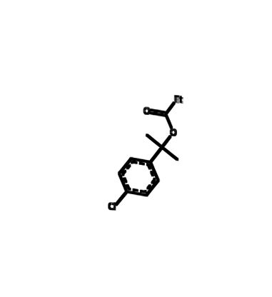 CCC(=O)OC(C)(C)c1ccc(Cl)cc1